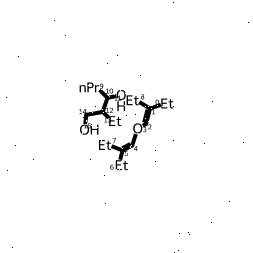 CCC(=COC=C(CC)CC)CC.CCCC(O)C(CC)CO